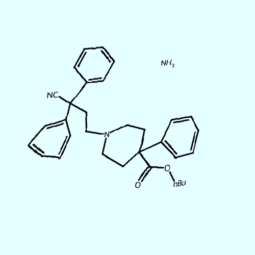 CCCCOC(=O)C1(c2ccccc2)CCN(CCC(C#N)(c2ccccc2)c2ccccc2)CC1.N